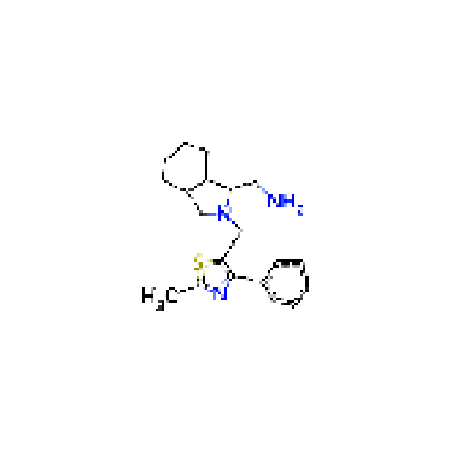 Cc1nc(-c2ccccc2)c(CN2CC3CCCCC3C2CN)s1